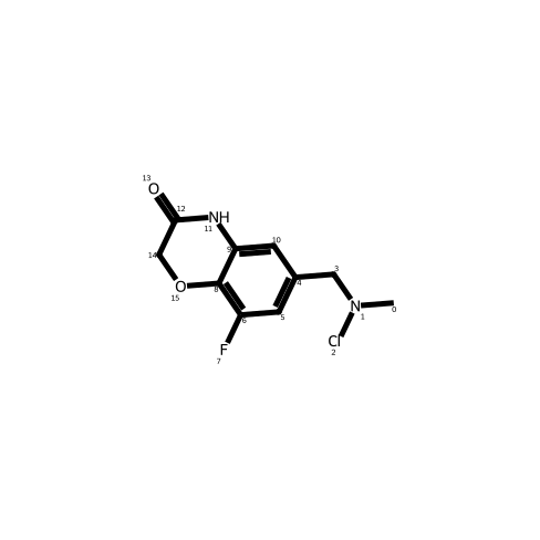 CN(Cl)Cc1cc(F)c2c(c1)NC(=O)CO2